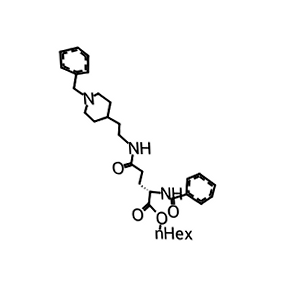 CCCCCCOC(=O)[C@H](CCC(=O)NCCC1CCN(Cc2ccccc2)CC1)NC(=O)c1ccccc1